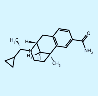 C[C@@H](C1CC1)N1CC[C@]2(C)c3cc(C(N)=O)ccc3C[C@@H]1[C@@H]2C